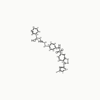 Cc1csc(N2CCc3cc(S(=O)(=O)Nc4ccc(CCNCC(O)c5cccnc5)cc4)ccc32)n1